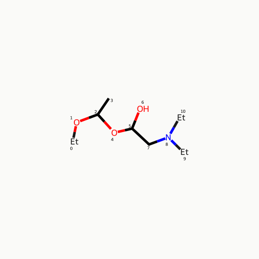 CCOC(C)OC(O)CN(CC)CC